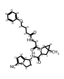 CC12CC(C(=O)N[C@H]3CCn4c(C#N)ccc43)N(C(=O)CNC(=O)CCCOc3ccccc3)C1C2